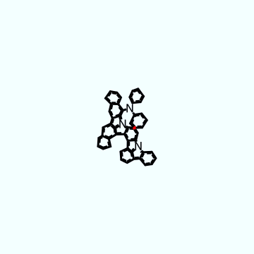 c1ccc(N(c2ccccc2)c2c3ccccc3cc3c4cc5ccccc5c5c6c7c8cccc9c%10ccccc%10n(c7ccc6n(c23)c45)c98)cc1